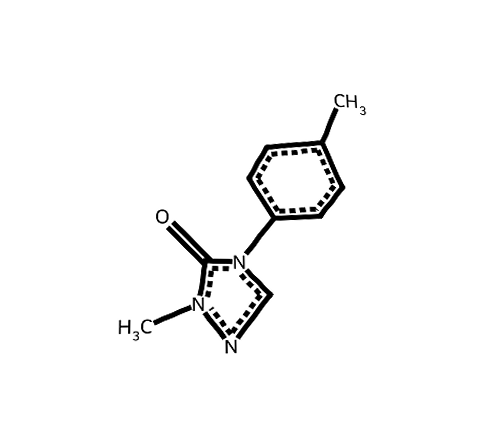 Cc1ccc(-n2cnn(C)c2=O)cc1